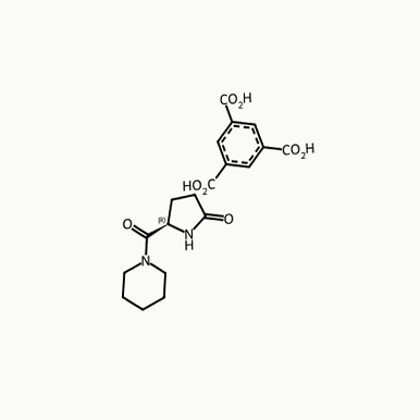 O=C(O)c1cc(C(=O)O)cc(C(=O)O)c1.O=C1CC[C@H](C(=O)N2CCCCC2)N1